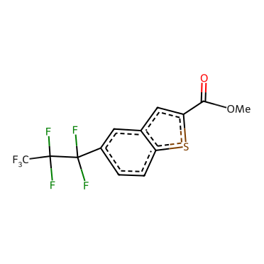 COC(=O)c1cc2cc(C(F)(F)C(F)(F)C(F)(F)F)ccc2s1